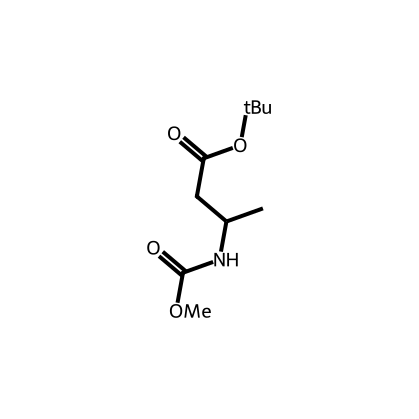 COC(=O)NC(C)CC(=O)OC(C)(C)C